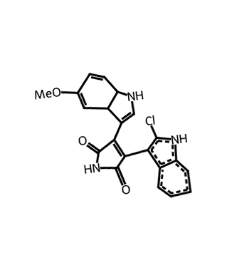 COC1=CC2C(C3=C(c4c(Cl)[nH]c5ccccc45)C(=O)NC3=O)=CNC2C=C1